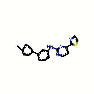 Cc1ccc(-c2cccc(Nc3nccc(-c4nccs4)n3)c2)cc1